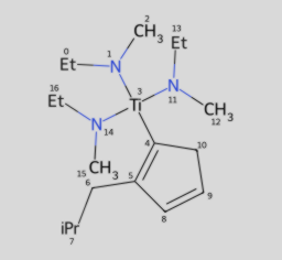 CC[N](C)[Ti]([C]1=C(CC(C)C)C=CC1)([N](C)CC)[N](C)CC